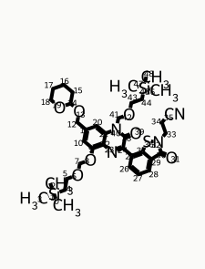 C[Si](C)(C)CCOCOc1cc(COC2CCCCO2)cc2c1nc(-c1cccc3c(=O)n(CCC#N)sc13)c(=O)n2COCC[Si](C)(C)C